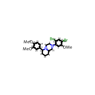 COc1cc(N2CCN3C(CCCC3c3ccc(OC)c(OC)c3)C2)c(Br)cc1Br